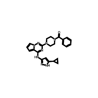 O=C(c1ccccc1)N1CCN(c2nc(Nc3cc(C4CC4)[nH]n3)c3cccn3n2)CC1